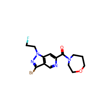 O=C(c1cc2c(cn1)c(Br)nn2CCF)N1CCCOCC1